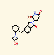 O=C1CCC(N2Cc3cc(C[C@H]4CCCC[C@@H]4N4CC(O)C4)ccc3C2=O)C(=O)N1